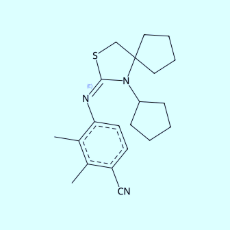 Cc1c(C#N)ccc(/N=C2/SCC3(CCCC3)N2C2CCCC2)c1C